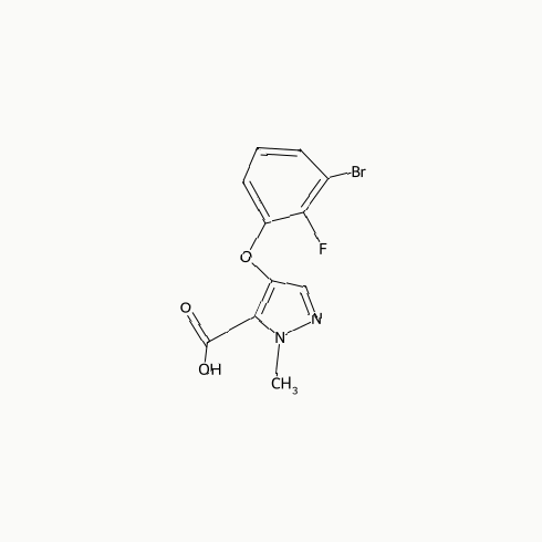 Cn1ncc(Oc2cccc(Br)c2F)c1C(=O)O